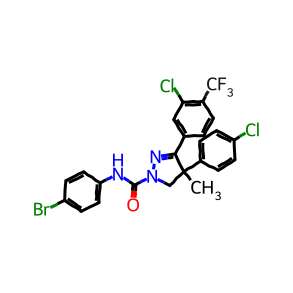 CC1(c2ccc(Cl)cc2)CN(C(=O)Nc2ccc(Br)cc2)N=C1c1ccc(C(F)(F)F)c(Cl)c1